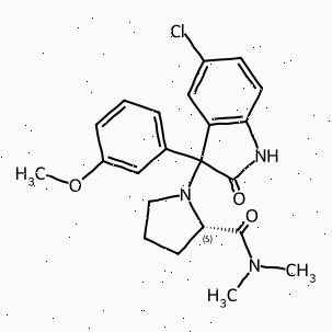 COc1cccc(C2(N3CCC[C@H]3C(=O)N(C)C)C(=O)Nc3ccc(Cl)cc32)c1